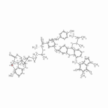 CC(=O)Nc1ccc(O)cc1.CC(CN1c2ccccc2Sc2ccccc21)N(C)C.CC[C@@H](c1cccc(O)c1)[C@@H](C)CN(C)C.Cn1c(=O)c2c(ncn2C)n(C)c1=O.O=C1CC[C@@]2(O)[C@H]3Cc4ccc(O)c5c4[C@@]2(CCN3CC2CC2)[C@H]1O5